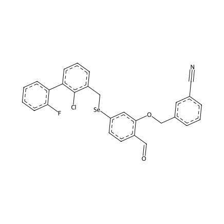 N#Cc1cccc(COc2cc([Se]Cc3cccc(-c4ccccc4F)c3Cl)ccc2C=O)c1